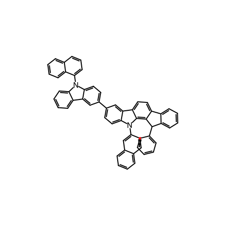 c1ccc(C2c3ccccc3-c3ccc4c5cc(-c6ccc7c(c6)c6ccccc6n7-c6cccc7ccccc67)ccc5n(-c5ccc6ccccc6c5)c4c32)cc1